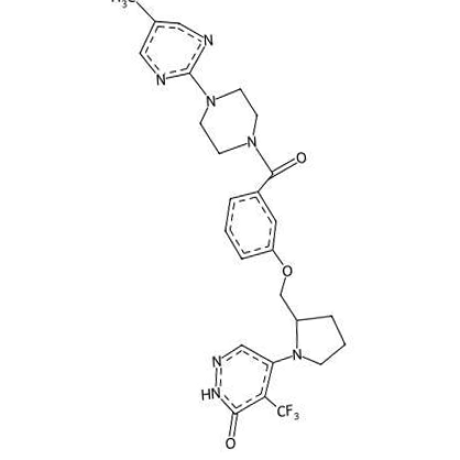 Cc1cnc(N2CCN(C(=O)c3cccc(OCC4CCCN4c4cn[nH]c(=O)c4C(F)(F)F)c3)CC2)nc1